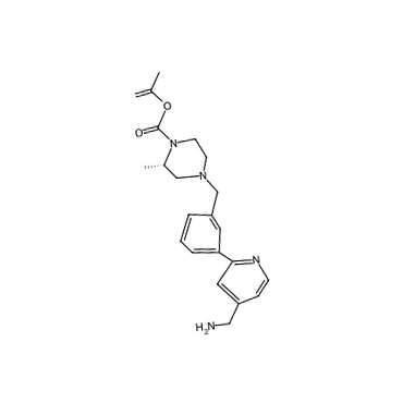 C=C(C)OC(=O)N1CCN(Cc2cccc(-c3cc(CN)ccn3)c2)C[C@@H]1C